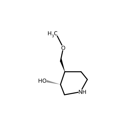 COC[C@H]1CCNC[C@@H]1O